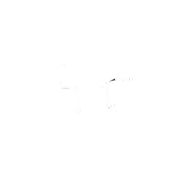 CC(S)C(=O)C[C@H](N)C(=O)O